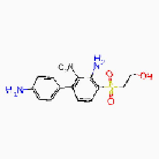 Nc1ccc(-c2ccc(S(=O)(=O)CCO)c(N)c2[N+](=O)[O-])cc1